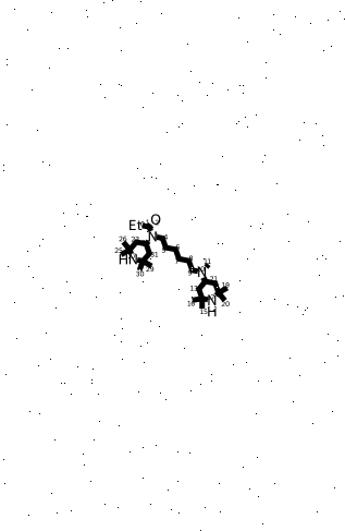 CCC(=O)N(CCCCCCN(C)C1CC(C)(C)NC(C)(C)C1)C1CC(C)(C)NC(C)(C)C1